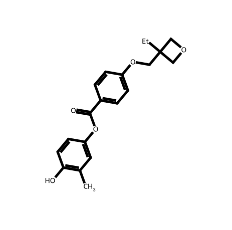 CCC1(COc2ccc(C(=O)Oc3ccc(O)c(C)c3)cc2)COC1